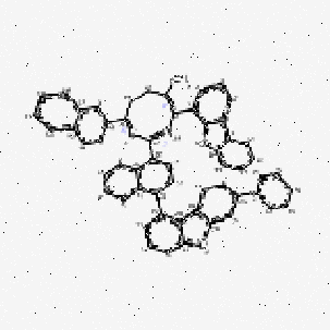 C/C1=C(c2cccc3c2oc2ccccc23)/N=C(c2ccc(-c3cccc4oc5cc(-c6ccccc6)ccc5c34)c3ccccc23)\N=C(\c2ccc3ccccc3c2)CC1